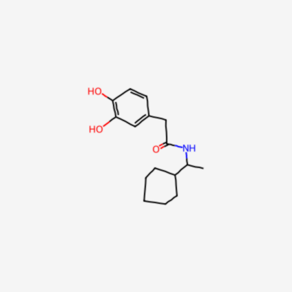 CC(NC(=O)Cc1ccc(O)c(O)c1)C1CCCCC1